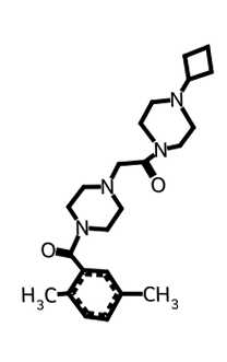 Cc1ccc(C)c(C(=O)N2CCN(CC(=O)N3CCN(C4CCC4)CC3)CC2)c1